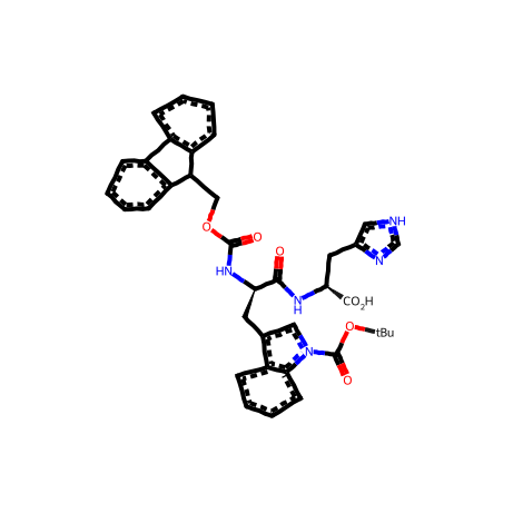 CC(C)(C)OC(=O)n1cc(C[C@@H](NC(=O)OCC2c3ccccc3-c3ccccc32)C(=O)N[C@@H](Cc2c[nH]cn2)C(=O)O)c2ccccc21